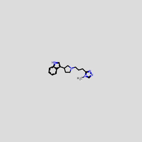 Cn1cnnc1CCCN1CCC(c2c[nH]c3ccccc23)C1